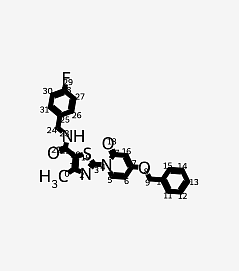 Cc1nc(-n2ccc(OCc3ccccc3)cc2=O)sc1C(=O)NCc1ccc(F)cc1